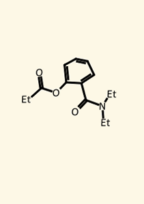 CCC(=O)Oc1ccccc1C(=O)N(CC)CC